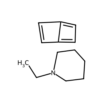 CCN1CCCCC1.c1cc2ccc1-2